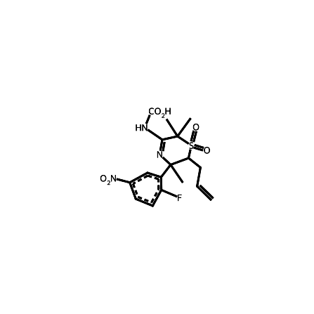 C=CCC1C(C)(c2cc([N+](=O)[O-])ccc2F)N=C(NC(=O)O)C(C)(C)S1(=O)=O